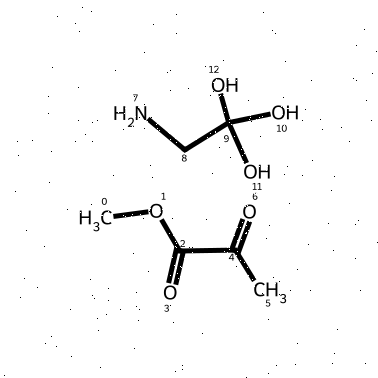 COC(=O)C(C)=O.NCC(O)(O)O